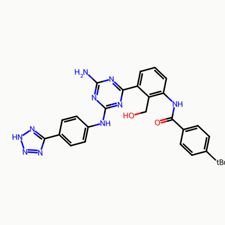 CC(C)(C)c1ccc(C(=O)Nc2cccc(-c3nc(N)nc(Nc4ccc(-c5nn[nH]n5)cc4)n3)c2CO)cc1